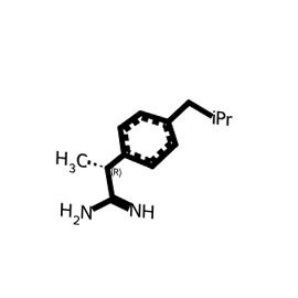 CC(C)Cc1ccc([C@@H](C)C(=N)N)cc1